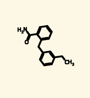 CCc1cccc(Cc2ccccc2C(N)=O)c1